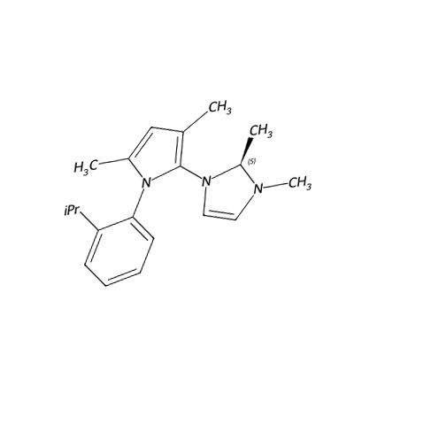 Cc1cc(C)n(-c2ccccc2C(C)C)c1N1C=CN(C)[C@@H]1C